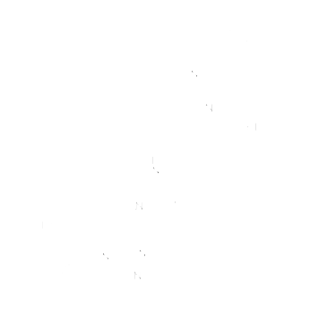 Cc1cc(F)c(C(=O)Nc2cccc(-c3nncn3C(C)CO)n2)cc1-n1cnc(C2CC2)c1